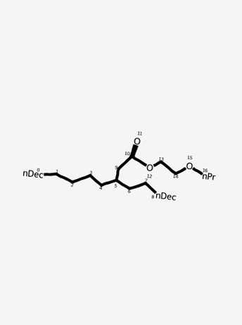 CCCCCCCCCCCCCCC(CCCCCCCCCCCC)CC(=O)OCCOCCC